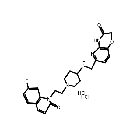 Cl.Cl.O=C1COc2ccc(CNC3CCN(CCn4c(=O)ccc5ccc(F)cc54)CC3)nc2N1